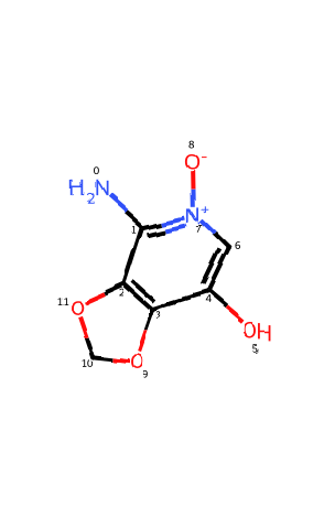 Nc1c2c(c(O)c[n+]1[O-])OCO2